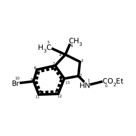 CCOC(=O)NC1CC(C)(C)c2cc(Br)ccc21